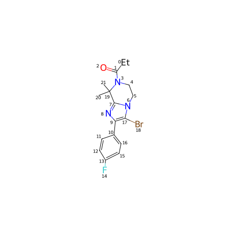 CCC(=O)N1CCn2c(nc(-c3ccc(F)cc3)c2Br)C1(C)C